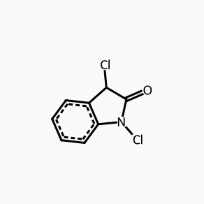 O=C1C(Cl)c2ccccc2N1Cl